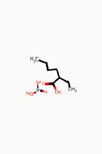 CCCCC(CC)C(=O)O.[O]=[Sn]([OH])[OH]